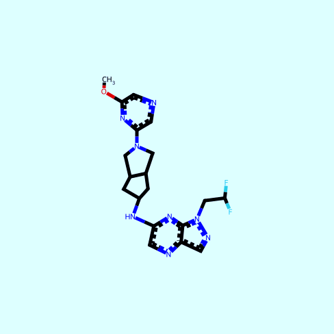 COc1cncc(N2CC3CC(Nc4cnc5cnn(CC(F)F)c5n4)CC3C2)n1